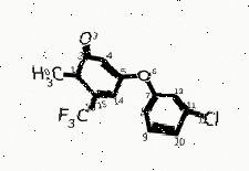 CC1C(=O)C=C(Oc2cccc(Cl)c2)C=C1C(F)(F)F